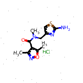 Cc1noc(C)c1C(=O)N(C)Cc1csc(N)n1.Cl